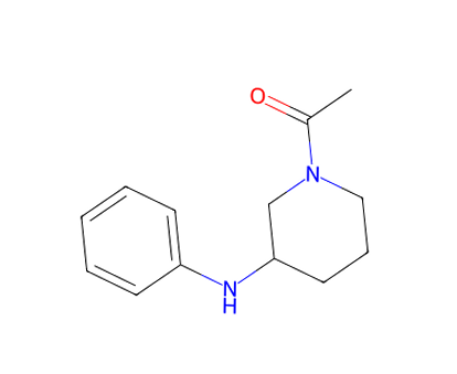 CC(=O)N1CCCC(Nc2ccccc2)C1